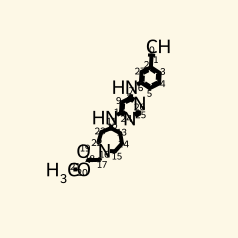 C#Cc1cccc(Nc2cc(NC3CCCN(CC(=O)OC)CC3)ncn2)c1